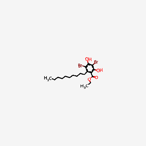 CCCCCCCCCCc1c(Br)c(O)c(Br)c(O)c1C(=O)OCC